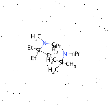 CCCN(CCC)[Si](C)(C)C.CC[Si](CC)(CC)N(C)C